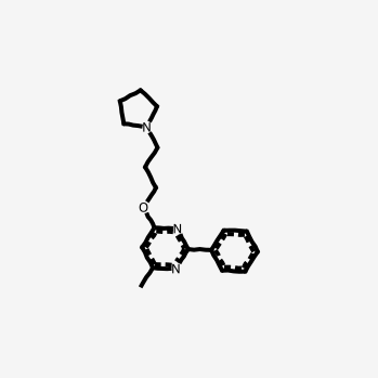 Cc1cc(OCCCN2CCCC2)nc(-c2ccccc2)n1